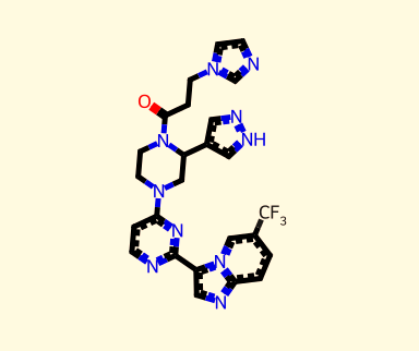 O=C(CCn1ccnc1)N1CCN(c2ccnc(-c3cnc4ccc(C(F)(F)F)cn34)n2)CC1c1cn[nH]c1